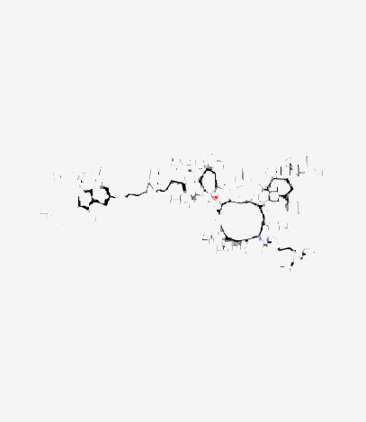 CC[C@H]1OC(=O)[C@H](C)[C@@H](O[C@H]2C[C@@](C)(OC)[C@@H](OC(=O)CCNCCSc3cnc4c(c3)c(=O)c(C(=O)O)cn4N(C)C)[C@H](C)O2)[C@H](C)[C@@H](O[C@@H]2O[C@H](C)C[C@H](N(C)C)[C@H]2O)[C@](C)(O)C[C@@H](C)/C(=N\OCCN(CC)CC)C(C)[C@@H](O)[C@]1(C)O